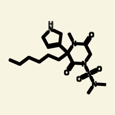 CCCCCCC1(C2=CCNC2)C(=O)N(S(=O)(=O)N(C)C)CC(=O)N1C